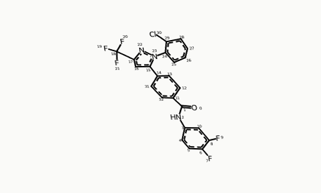 O=C(Nc1ccc(F)c(F)c1)c1ccc(-c2cc(C(F)(F)F)nn2-c2ccccc2Cl)cc1